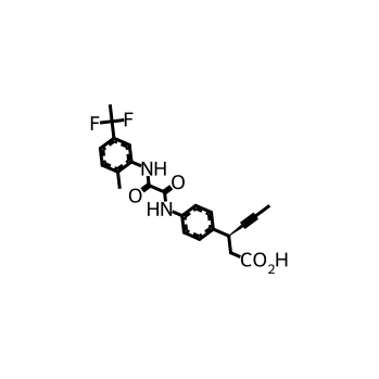 CC#C[C@@H](CC(=O)O)c1ccc(NC(=O)C(=O)Nc2cc(C(C)(F)F)ccc2C)cc1